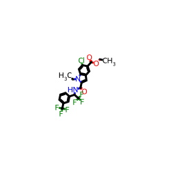 CCOC(=O)c1cc2cc(C(=O)NC(c3cccc(C(F)(F)F)c3)C(F)(F)F)n(CC)c2cc1Cl